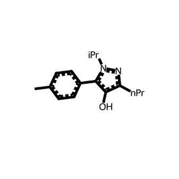 CCCc1nn(C(C)C)c(-c2ccc(C)cc2)c1O